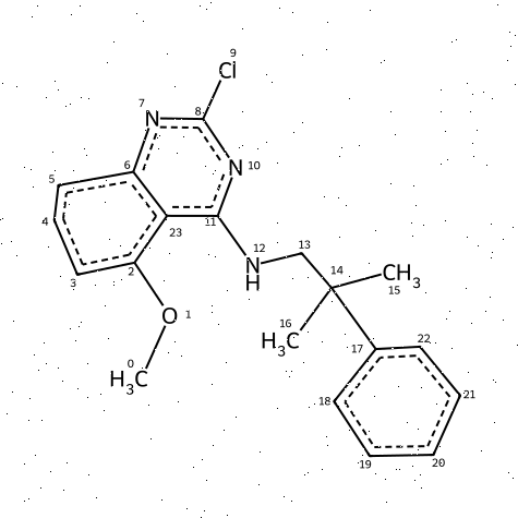 COc1cccc2nc(Cl)nc(NCC(C)(C)c3ccccc3)c12